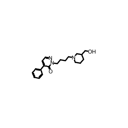 O=c1c(-c2ccccc2)ccnn1CCCCN1CCCC(CO)C1